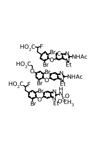 CCn1c(NC(C)=O)nc2ccc(Oc3c(Br)cc(CC(F)C(=O)O)cc3Br)cc21.CCn1c(NC(C)=O)nc2ccc(Oc3c(Br)cc(OCC(=O)O)cc3Br)cc21.CCn1c(NS(C)(=O)=O)nc2ccc(Oc3c(Br)cc(CC(F)C(=O)O)cc3Br)cc21